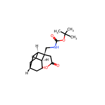 CC(C)(C)OC(=O)NC[C@]1(CC(=O)O)[C@@H]2C[C@@H]3CC[C@H]1[C@H]2C3